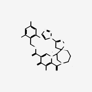 C[C@H]1CC[C@]2(CC(n3ccnn3)=NO2)[C@H]2CN1C(=O)c1c(O)c(=O)c(C(=O)NCc3c(F)cc(F)cc3F)cn12